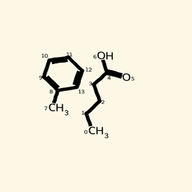 CCCCC(=O)O.Cc1ccccc1